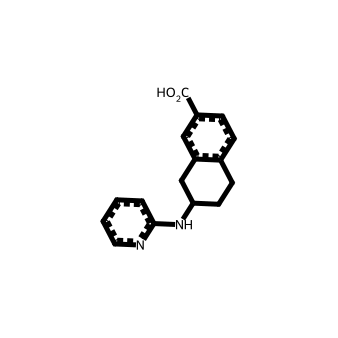 O=C(O)c1ccc2c(c1)CC(Nc1ccccn1)CC2